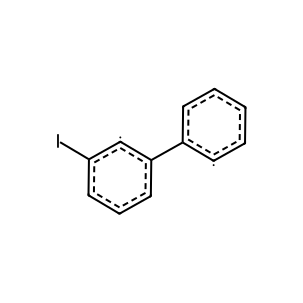 Ic1[c]c(-c2[c]cccc2)ccc1